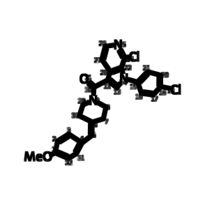 COc1ccc(C=C2CCN(C(=O)c3cn(-c4ccc(Cl)cc4)c4c(Cl)nccc34)CC2)cc1